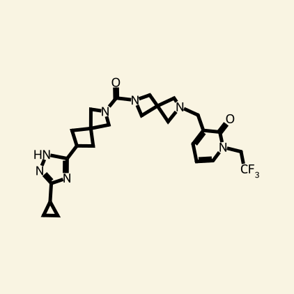 O=C(N1CC2(CC(c3nc(C4CC4)n[nH]3)C2)C1)N1CC2(CN(Cc3cccn(CC(F)(F)F)c3=O)C2)C1